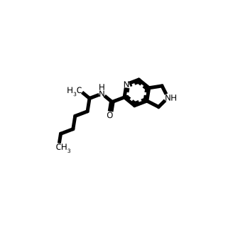 CCCCCC(C)NC(=O)c1cc2c(cn1)CNC2